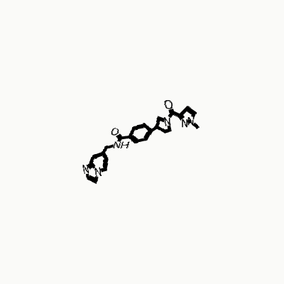 Cn1ccc(C(=O)N2CCC(c3ccc(C(=O)NCc4ccn5ccnc5c4)cc3)C2)n1